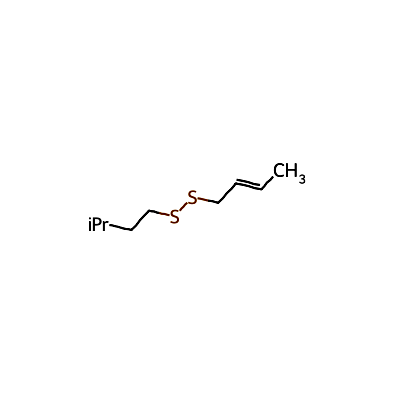 C/C=C/CSSCCC(C)C